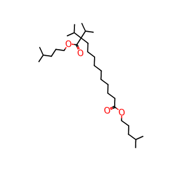 CC(C)CCCOC(=O)CCCCCCCCCC(C(=O)OCCCC(C)C)(C(C)C)C(C)C